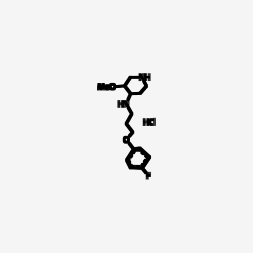 COC1CNCCC1NCCCOc1ccc(F)cc1.Cl